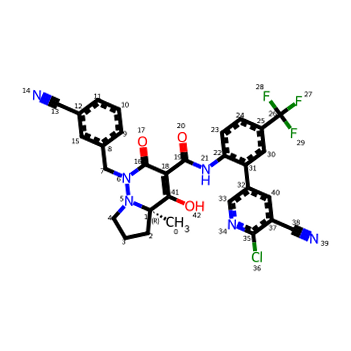 C[C@]12CCCN1N(Cc1cccc(C#N)c1)C(=O)C(C(=O)Nc1ccc(C(F)(F)F)cc1-c1cnc(Cl)c(C#N)c1)=C2O